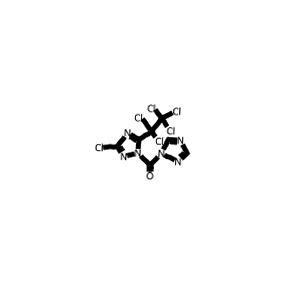 O=C(n1cncn1)n1nc(Cl)nc1C(Cl)(Cl)C(Cl)(Cl)Cl